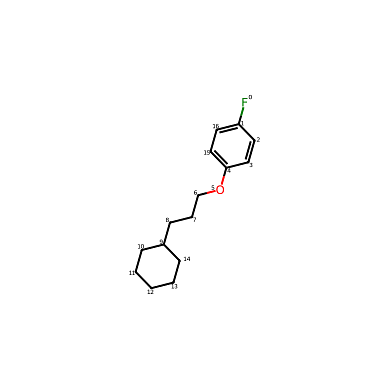 Fc1ccc(OCCCC2CCCCC2)cc1